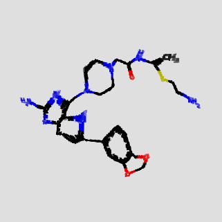 C=C(NC(=O)CN1CCN(c2nc(N)nc3ccc(-c4ccc5c(c4)OCO5)nc23)CC1)SCCN